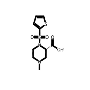 CN1CCN(S(=O)(=O)c2cccs2)[C@H](C(=O)O)C1